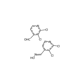 O/N=C/c1ccnc(Cl)c1Cl.O=Cc1ccnc(Cl)c1Cl